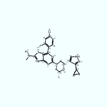 CC(=O)N(C)c1nc2nc(N3C[C@@H](C)O[C@@H](c4c[nH]nc4C4CC4)C3)nc(-c3ccc(Cl)cc3F)c2s1